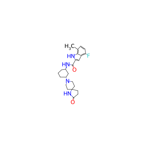 Cc1ccc(F)c2cc(C(=O)N[C@@H]3CCC[C@@H](N4CCC5(CCC(=O)N5)CC4)C3)[nH]c12